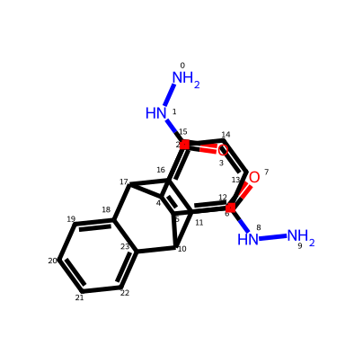 NNC(=O)C1=C(C(=O)NN)C2c3ccccc3C1c1ccccc12